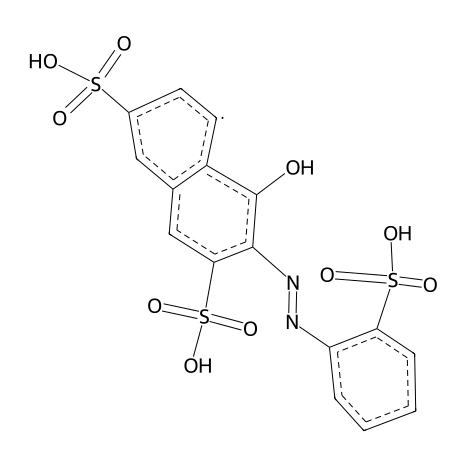 O=S(=O)(O)c1c[c]c2c(O)c(N=Nc3ccccc3S(=O)(=O)O)c(S(=O)(=O)O)cc2c1